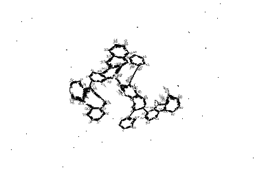 c1ccc(-c2cc3nc(-n4c5cc(-c6cc7ccccc7c7ccccc67)ccc5c5cc6ccccc6cc54)c(-c4ccccc4)nc3cc2-c2cccc3c2oc2ccccc23)cc1